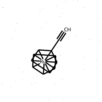 C#C[C]12[CH]3[CH]4[CH]5[CH]1[Ru]45321678[CH]2[CH]1[CH]6[CH]7[CH]28